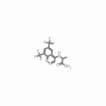 CC(Nc1cnnc2c(C(F)(F)F)cc(C(F)(F)F)cc12)C(N)=O